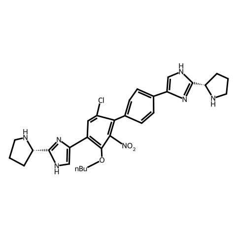 CCCCOc1c(-c2c[nH]c([C@@H]3CCCN3)n2)cc(Cl)c(-c2ccc(-c3c[nH]c([C@@H]4CCCN4)n3)cc2)c1[N+](=O)[O-]